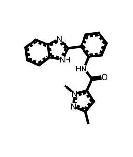 Cc1cc(C(=O)Nc2ccccc2-c2nc3ccccc3[nH]2)n(C)n1